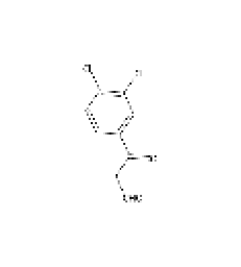 O=CCC(=O)c1ccc(Cl)c(Cl)c1